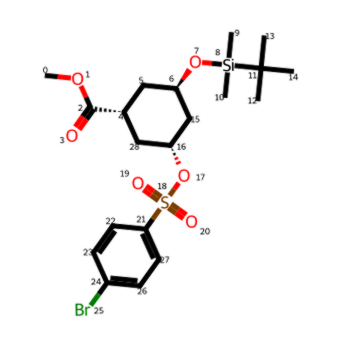 COC(=O)[C@@H]1C[C@@H](O[Si](C)(C)C(C)(C)C)C[C@H](OS(=O)(=O)c2ccc(Br)cc2)C1